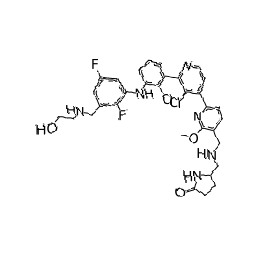 COc1nc(-c2ccnc(-c3cccc(Nc4cc(F)cc(CNCCO)c4F)c3Cl)c2Cl)ccc1CNCC1CCC(=O)N1